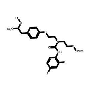 CCCCCOCCN(CCOc1ccc(CC(OCC)C(=O)O)cc1)C(=O)Nc1ccc(F)cc1F